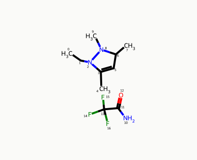 CCN1C(C)=CC(C)N1C.NC(=O)C(F)(F)F